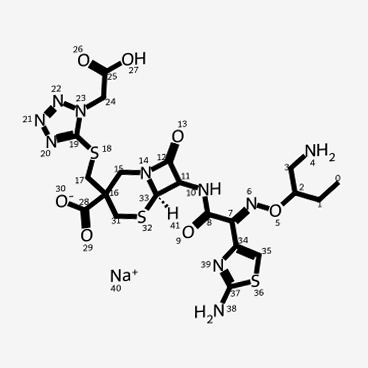 CCC(CN)ON=C(C(=O)NC1C(=O)N2CC(CSc3nnnn3CC(=O)O)(C(=O)[O-])CS[C@H]12)c1csc(N)n1.[Na+]